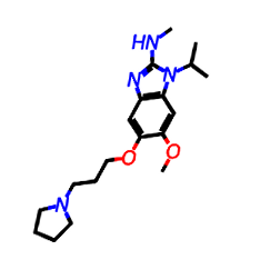 CNc1nc2cc(OCCCN3CCCC3)c(OC)cc2n1C(C)C